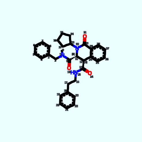 CN(Cc1ccccc1)C(=O)[C@H]1[C@H](C(=O)NCCc2ccccc2)c2ccccc2C(=O)N1C1CCCC1